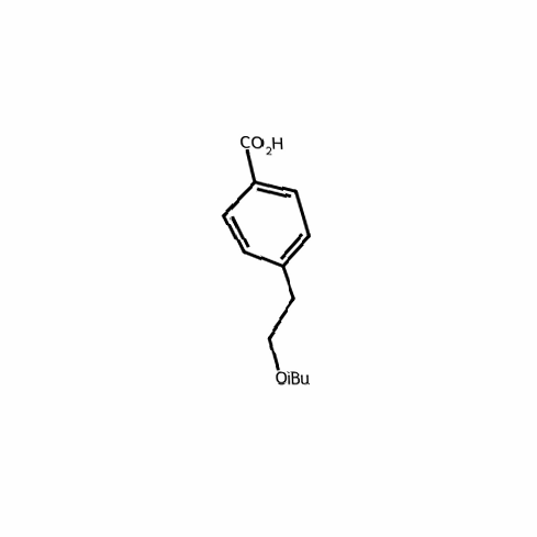 CC(C)COCCc1ccc(C(=O)O)cc1